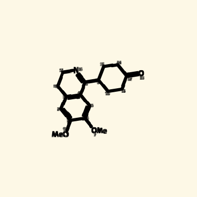 COc1cc2c(cc1OC)C(C1CCC(=O)CC1)=NCC2